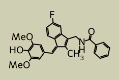 COc1cc(/C=C2/C(C)=C(CNC(=O)c3ccccc3)c3cc(F)ccc32)cc(OC)c1O